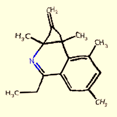 C=C1C2(C)N=C(CC)c3cc(C)cc(C)c3C12C